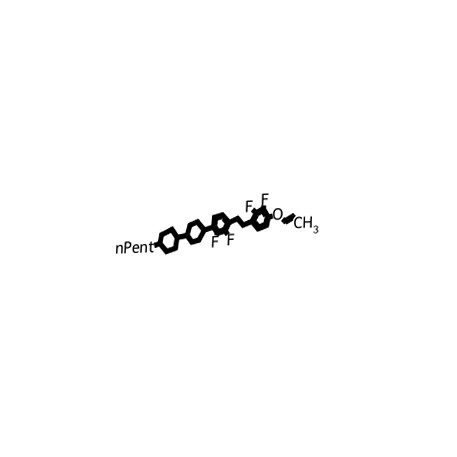 C/C=C/Oc1ccc(CCc2ccc(C3CCC(C4CCC(CCCCC)CC4)CC3)c(F)c2F)c(F)c1F